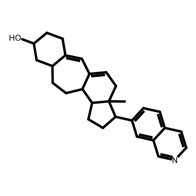 CC12CC=C3C=C4CCC(O)CC4CCC3C1CCC2c1ccc2ccncc2c1